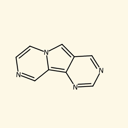 c1cn2cc3cncnc3c2cn1